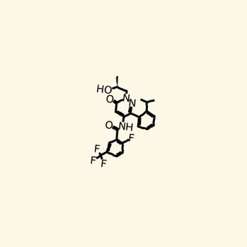 CC(C)c1ccccc1-c1nn(C[C@H](C)O)c(=O)cc1NC(=O)c1cc(C(F)(F)F)ccc1F